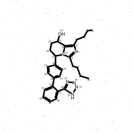 CCCCc1nc(CCCC)n2c1C(O)CCC2c1ccc(-c2ccccc2-c2nnn[nH]2)cc1